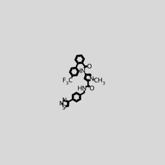 Cn1cc(NC(=O)c2ccccc2-c2ccc(C(F)(F)F)cc2)cc1C(=O)NCc1ccc(-c2csnn2)cc1